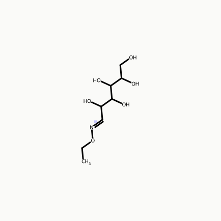 CCO/N=C/C(O)C(O)C(O)C(O)CO